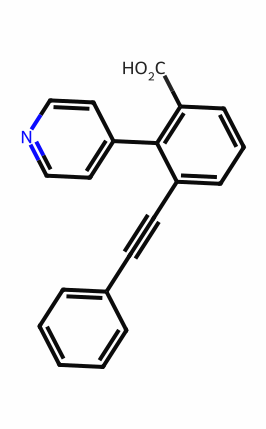 O=C(O)c1cccc(C#Cc2ccccc2)c1-c1ccncc1